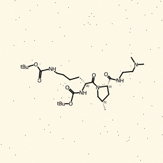 C[C@H]1C[C@@H](C(=O)NCCN(C)C)N(C(=O)[C@@H](CCCCNC(=O)OC(C)(C)C)NC(=O)OC(C)(C)C)C1